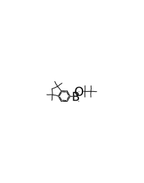 CB(OC(C)(C)C(C)(C)C)c1ccc2c(c1)C(C)(C)CC2(C)C